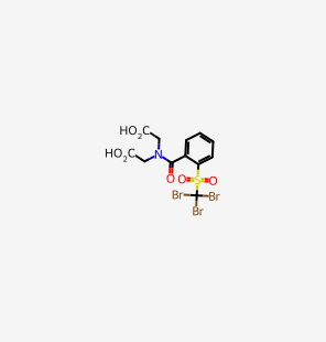 O=C(O)CN(CC(=O)O)C(=O)c1ccccc1S(=O)(=O)C(Br)(Br)Br